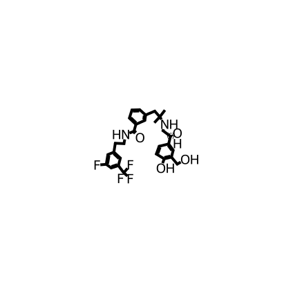 CC(C)(Cc1cccc(C(=O)NCCc2cc(F)cc(C(F)(F)F)c2)c1)NC[C@@H](O)c1ccc(O)c(CO)c1